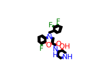 O=C(NC1CCNCC1O)C1=CN(Cc2cccc(F)c2F)c2cccc(F)c2O1